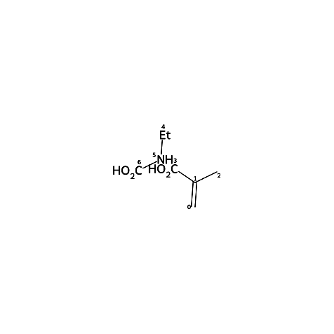 C=C(C)C(=O)O.CCNC(=O)O